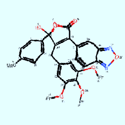 COc1ccc(C2(O)OC(=O)C(c3ccc4nonc4c3)=C2Cc2cc(OC(C)C)c(OC(C)C)c(OC(C)C)c2)cc1